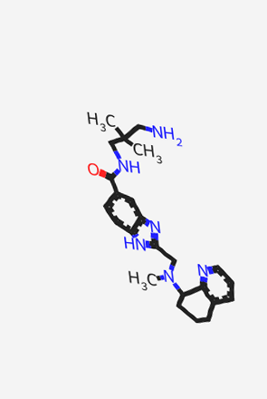 CN(Cc1nc2cc(C(=O)NCC(C)(C)CN)ccc2[nH]1)C1CCCc2cccnc21